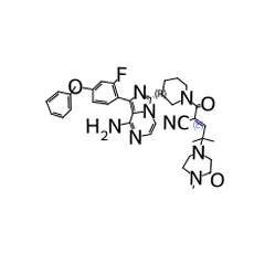 CN1CCN(C(C)(C)/C=C(\C#N)C(=O)N2CCC[C@@H](c3nc(-c4ccc(Oc5ccccc5)cc4F)c4c(N)nccn34)C2)CC1=O